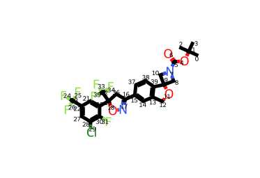 CC(C)(C)OC(=O)N1CC2(C1)OCc1cc(C3=NOC(c4cc(C(F)(F)F)cc(Cl)c4F)(C(F)(F)F)C3)ccc12